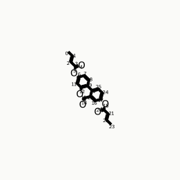 C/C=C/C(=O)Oc1ccc2c(c1)oc(=O)c1cc(OC(=O)/C=C/C)ccc12